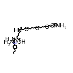 C=C(CCOCCCCCOCCCCCOCCOCCN)NCCCCC(C(C)O)N(N)/C=C(\N)c1ccc(CCC)cc1